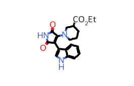 CCOC(=O)C1CCCN(C2=C(c3c[nH]c4ccccc34)C(=O)NC2=O)C1